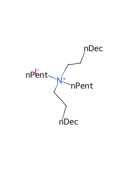 CCCCCCCCCCCC[N+](CCCCC)(CCCCC)CCCCCCCCCCCC.[I-]